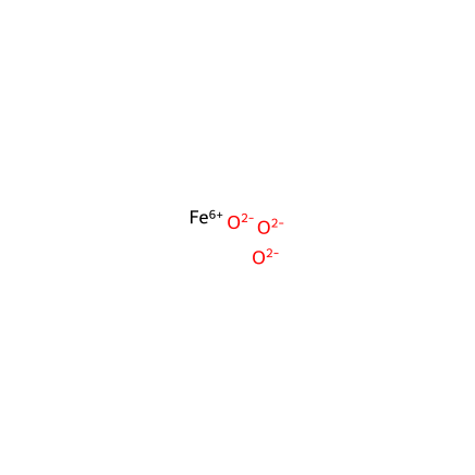 [Fe+6].[O-2].[O-2].[O-2]